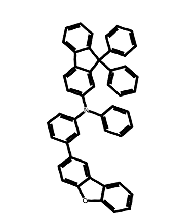 c1ccc(N(c2cccc(-c3ccc4oc5ccccc5c4c3)c2)c2ccc3c(c2)C(c2ccccc2)(c2ccccc2)c2ccccc2-3)cc1